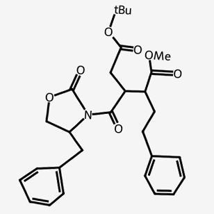 COC(=O)C(CCc1ccccc1)C(CC(=O)OC(C)(C)C)C(=O)N1C(=O)OCC1Cc1ccccc1